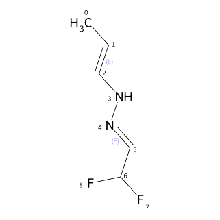 C/C=C/N/N=C/C(F)F